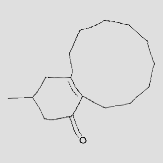 CC1CC(=O)C2=C(CCCCCCCCC2)C1